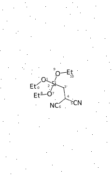 CCO[Si](CC(C#N)C#N)(OCC)OCC